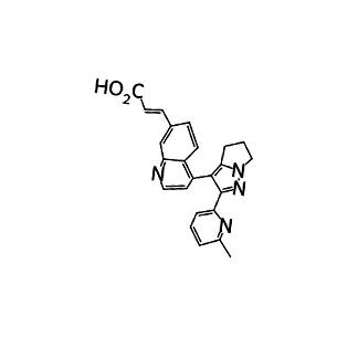 Cc1cccc(-c2nn3c(c2-c2ccnc4cc(C=CC(=O)O)ccc24)CCC3)n1